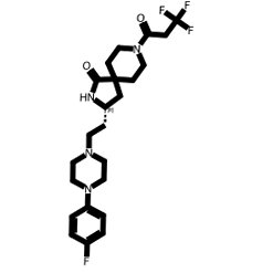 O=C(CC(F)(F)F)N1CCC2(CC1)C[C@H](CCN1CCN(c3ccc(F)cc3)CC1)NC2=O